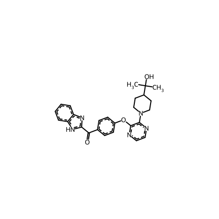 CC(C)(O)C1CCN(c2nccnc2Oc2ccc(C(=O)c3nc4ccccc4[nH]3)cc2)CC1